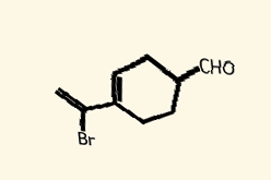 C=C(Br)C1=CCC(C=O)CC1